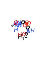 CC[C@@H](CO)Nc1ccc(S(=O)(=O)Oc2ccc3[nH]c(NC(=O)C4CC4)nc3c2)cc1